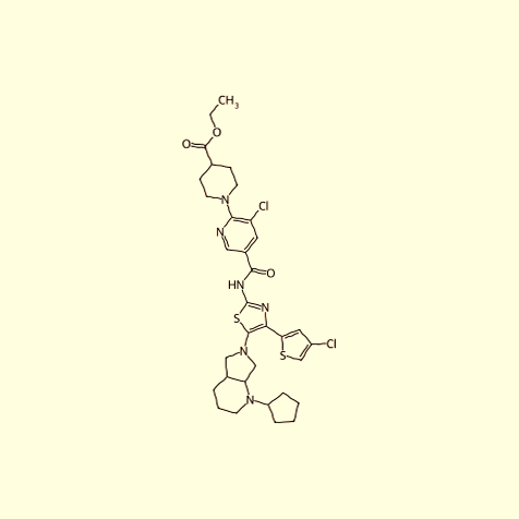 CCOC(=O)C1CCN(c2ncc(C(=O)Nc3nc(-c4cc(Cl)cs4)c(N4CC5CCCN(C6CCCC6)C5C4)s3)cc2Cl)CC1